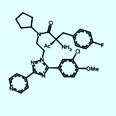 COc1ccc(-c2nc(-c3ccncc3)nn2CCN(C(=O)[C@@](N)(Cc2ccc(F)cc2)C(C)=O)C2CCCC2)cc1Cl